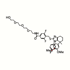 COc1ccc(C2(C)CCCc3nc(SCc4c(F)cc(C(=O)NCCOCCOCCOCCO)cc4F)n(-c4ccc(F)cc4)c32)cc1OC